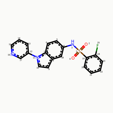 O=S(=O)(Nc1ccc2c(ccn2-c2cccnc2)c1)c1ccccc1F